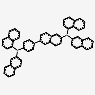 c1ccc2cc(N(c3ccc(-c4ccc5cc(N(c6ccc7ccccc7c6)c6cccc7ccccc67)ccc5c4)cc3)c3cccc4ccccc34)ccc2c1